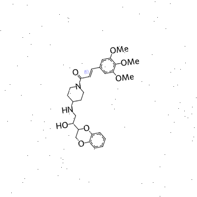 COc1cc(/C=C/C(=O)N2CCC(NCC(O)C3COc4ccccc4O3)CC2)cc(OC)c1OC